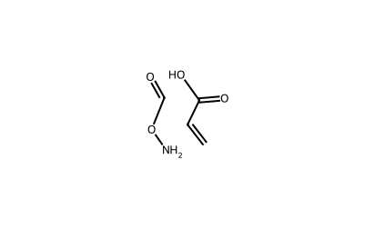 C=CC(=O)O.NOC=O